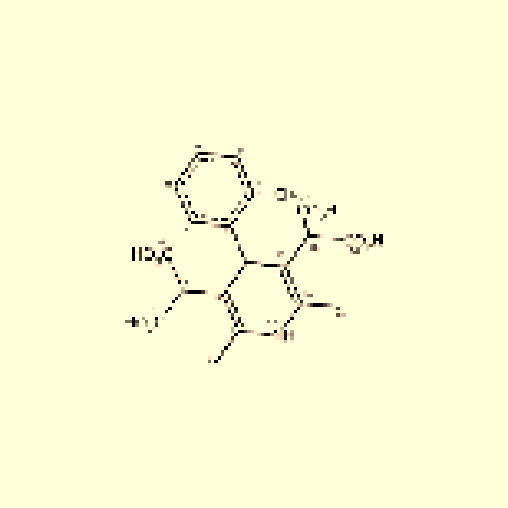 CC1=C(C(C(=O)O)C(=O)O)C(c2ccccc2Cl)C(C(C(=O)O)C(=O)O)=C(C)N1